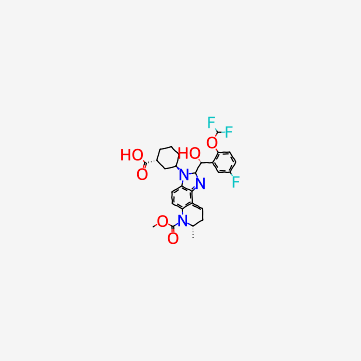 COC(=O)N1c2ccc3c(c2=CC[C@@H]1C)=NC([C@H](O)c1cc(F)ccc1OC(F)F)N3[C@@H]1CCC[C@@H](C(=O)O)C1